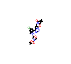 Cc1cc(Cl)cc(-c2ncnn3cc(CN4C(=O)C5C(C4=O)C5(C)C)cc23)c1NC[C@@H]1CN(C(=O)OC(C)(C)C)CCO1